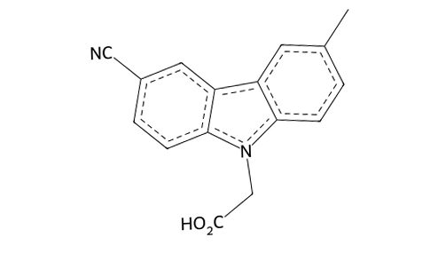 Cc1ccc2c(c1)c1cc(C#N)ccc1n2CC(=O)O